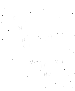 COc1cc(C(=O)N2CCC3(CC2)c2ccc(C(F)(F)F)n2CCN3C)ccc1C(C)(C)CO